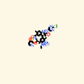 CC[C@@H]1CN(Cc2cc([C@@H](c3ccc4c(c3C)N(C)NN4CC)C(C)(C)C(=O)Nc3cnc(Cl)nc3)ccc2C)S(=O)(=O)c2cccnc2O1